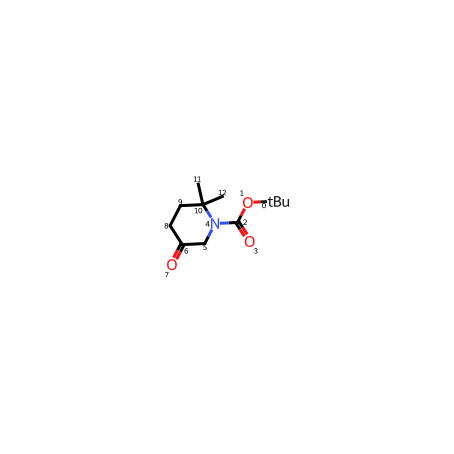 CC(C)(C)OC(=O)N1CC(=O)CCC1(C)C